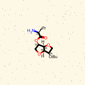 CC(C)CO[C@@H]1CO[C@H]2[C@@H]1OC[C@H]2OC(=O)[C@@H](N)C(C)C